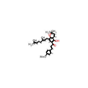 COc1ccc(/C=C/C(=O)c2cc(C/C=C(\C)CCC=C(C)C)c3c(c2O)C=CC(C)(C)O3)cc1